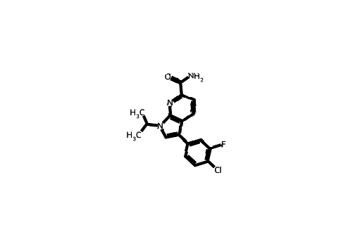 CC(C)n1cc(-c2ccc(Cl)c(F)c2)c2ccc(C(N)=O)nc21